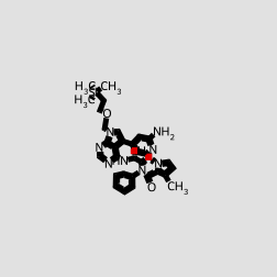 Cc1ccn2nc(C(C)Nc3ncnc4c3c(-c3ccnc(N)c3)cn4COCC[Si](C)(C)C)n(-c3ccccc3)c(=O)c12